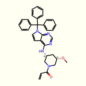 C=CC(=O)N1C[C@H](Nc2ncnc3c2ccn3C(c2ccccc2)(c2ccccc2)c2ccccc2)C[C@H](OC)C1